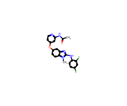 CC(=O)Nc1cc(Oc2ccc3c(c2)nc(Nc2ccc(F)cc2F)n3C)ccn1